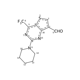 O=Cc1csc2c(C(F)(F)F)nc(N3CC[CH]CC3)nc12